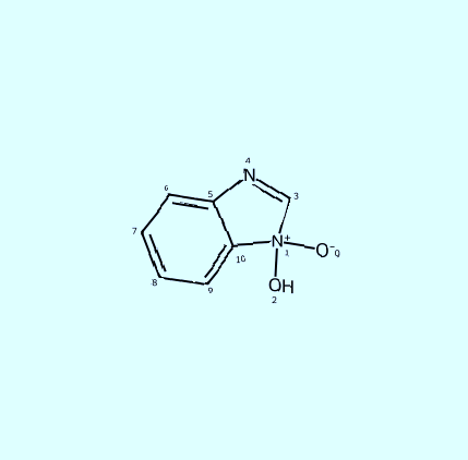 [O-][N+]1(O)C=Nc2ccccc21